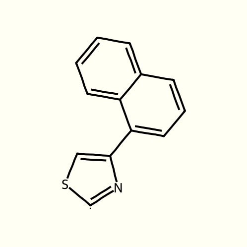 [c]1nc(-c2cccc3ccccc23)cs1